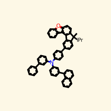 CC(C)C1(C)c2ccc(-c3ccc(N(c4cccc(-c5ccccc5)c4)c4cccc(-c5cccc6ccccc56)c4)cc3)cc2-c2c1ccc1oc3ccccc3c21